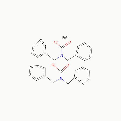 O=C([O-])N(Cc1ccccc1)Cc1ccccc1.O=C([O-])N(Cc1ccccc1)Cc1ccccc1.[Fe+2]